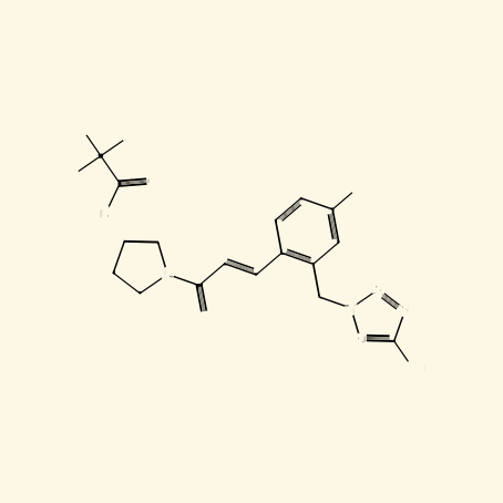 Cc1nnn(Cc2cc(Cl)ccc2/C=C/C(=O)N2CC[C@H](NC(=O)C(F)(F)F)C2)n1